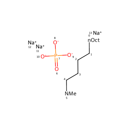 CCCCCCCCCCCCNC.O=P([O-])([O-])[O-].[Na+].[Na+].[Na+]